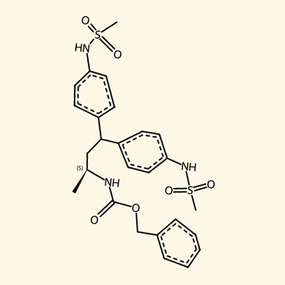 C[C@@H](CC(c1ccc(NS(C)(=O)=O)cc1)c1ccc(NS(C)(=O)=O)cc1)NC(=O)OCc1ccccc1